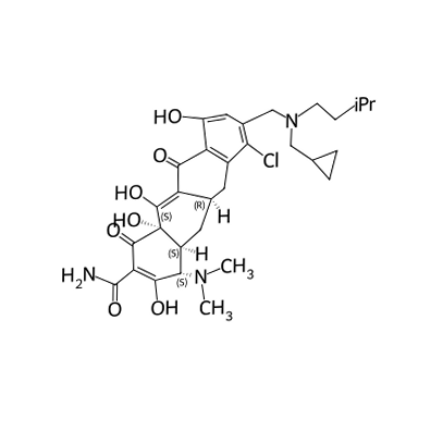 CC(C)CCN(Cc1cc(O)c2c(c1Cl)C[C@H]1C[C@H]3[C@H](N(C)C)C(O)=C(C(N)=O)C(=O)[C@@]3(O)C(O)=C1C2=O)CC1CC1